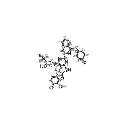 CC1(c2ccc(Cl)c(O)c2)C(=O)Nc2nc(-c3cn4ccnc4c(Cc4ccc(F)cc4)n3)nc(NCC(O)C(F)(F)F)c21